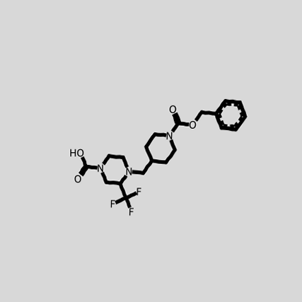 O=C(O)N1CCN(CC2CCN(C(=O)OCc3ccccc3)CC2)C(C(F)(F)F)C1